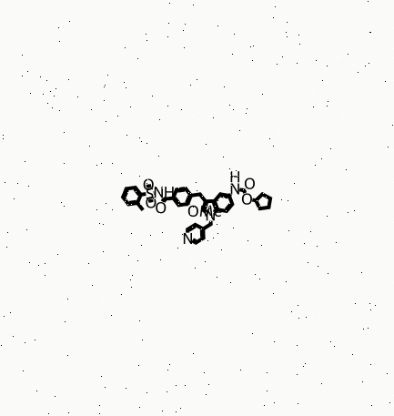 COc1cc(C(=O)NS(=O)(=O)c2ccccc2C)ccc1Cc1cn(Cc2ccncc2)c2ccc(NC(=O)OC3CCCC3)cc12